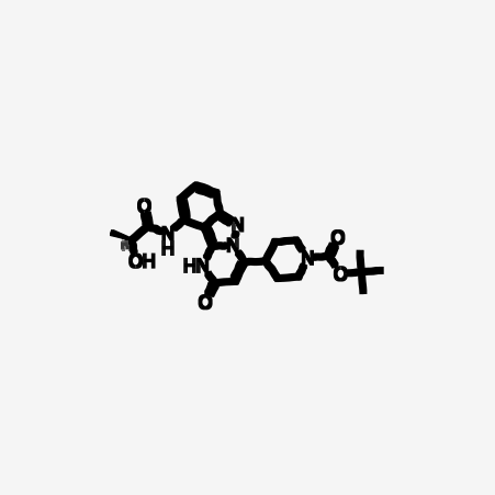 C[C@H](O)C(=O)Nc1cccc2nn3c(C4CCN(C(=O)OC(C)(C)C)CC4)cc(=O)[nH]c3c12